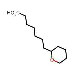 O=C(O)CCCCCCC1CCCCO1